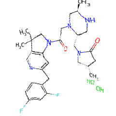 C[C@H]1CC(=O)N(C[C@H]2CN[C@H](C)CN2CC(=O)N2CC(C)(C)c3cnc(Cc4ccc(F)cc4F)cc32)C1.Cl.Cl